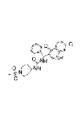 CS(=O)(=O)N1CCC(NC(=O)NC(c2ccccc2)c2c[nH]c3cc(Cl)ccc3c2=O)CC1